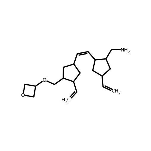 C=CC1CC(/C=C\C2CC(C=C)C(COC3COC3)C2)C(CN)C1